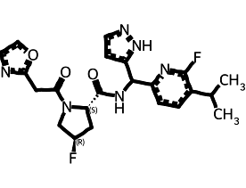 CC(C)c1ccc(C(NC(=O)[C@@H]2C[C@@H](F)CN2C(=O)Cc2ncco2)c2ccn[nH]2)nc1F